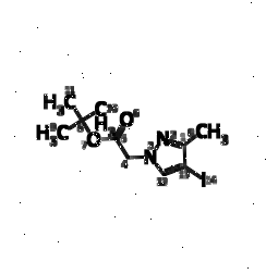 Cc1nn(CC(=O)OC(C)(C)C)cc1I